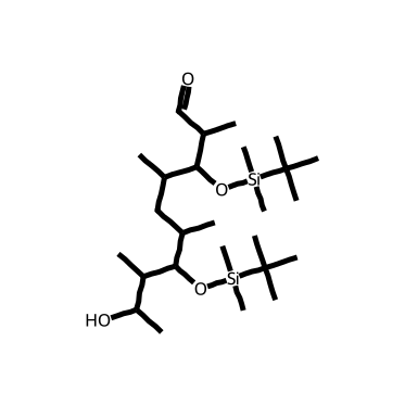 CC(O)C(C)C(O[Si](C)(C)C(C)(C)C)C(C)CC(C)C(O[Si](C)(C)C(C)(C)C)C(C)C=O